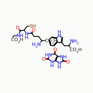 NC(CCC(=O)NC(CS)C(=O)NCC(=O)O)C(=O)O.NC(Cc1c[nH]c2ccccc12)C(=O)O.O=c1[nH]c(=O)c2[nH]c(=O)[nH]c2[nH]1